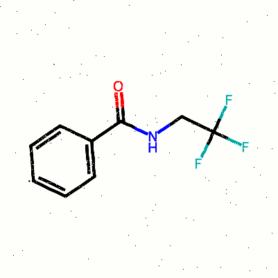 O=C(NCC(F)(F)F)c1cc[c]cc1